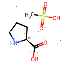 CS(=O)(=O)O.O=C(O)[C@@H]1CCCN1